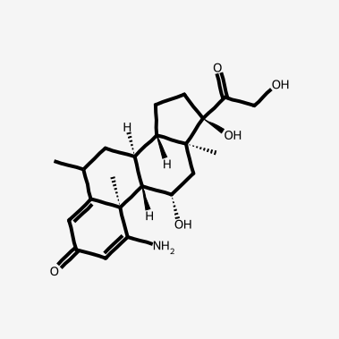 CC1C[C@@H]2[C@H]([C@@H](O)C[C@@]3(C)[C@H]2CC[C@]3(O)C(=O)CO)[C@@]2(C)C(N)=CC(=O)C=C12